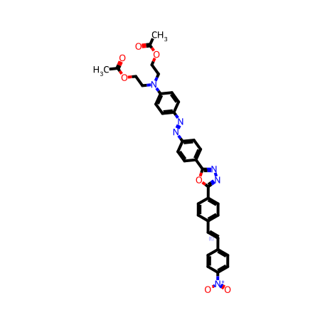 CC(=O)OCCN(CCOC(C)=O)c1ccc(N=Nc2ccc(-c3nnc(-c4ccc(/C=C/c5ccc([N+](=O)[O-])cc5)cc4)o3)cc2)cc1